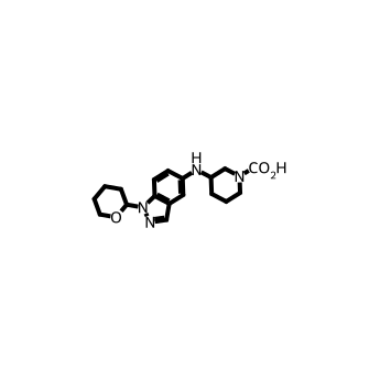 O=C(O)N1CCCC(Nc2ccc3c(cnn3C3CCCCO3)c2)C1